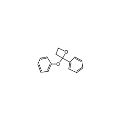 c1ccc(OC2(c3ccccc3)CCO2)cc1